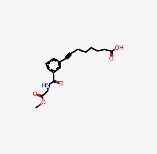 COC(=O)CNC(=O)c1cccc(C#CCCCCCC(=O)O)c1